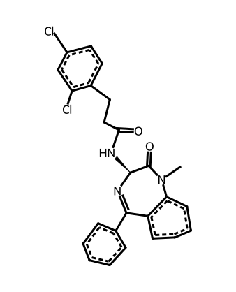 CN1C(=O)[C@H](NC(=O)CCc2ccc(Cl)cc2Cl)N=C(c2ccccc2)c2ccccc21